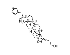 C[C@]12CC[C@](O)(C#CCCO)C[C@H]1CC[C@@H]1[C@@H]2CC[C@]2(C)[C@@H](C(=O)Cn3ccnc3)CC[C@@H]12